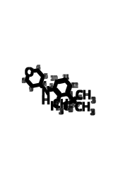 Cc1c(NC2CCOCC2)cccc1C(C)(C)C